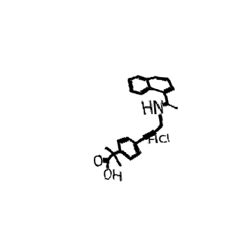 C[C@@H](NCC#Cc1ccc(C(C)(C)C(=O)O)cc1)c1cccc2ccccc12.Cl